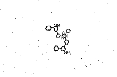 CNc1cc(-c2ccccc2)cc(-c2cccc(-c3nc(-c4ccccc4)nc(-c4cccc(-c5cc(NC)cc(-c6ccccc6)c5)c4)n3)c2)c1